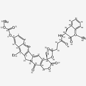 CCc1c2c(nc3ccc(OC(=O)OC(C)(C)C)cc13)-c1cc3c(c(=O)n1C2)COC(=O)[C@@]3(CC)OC(=O)CCC(=O)N[C@@H](Cc1ccccc1)C(=O)OC(C)(C)C